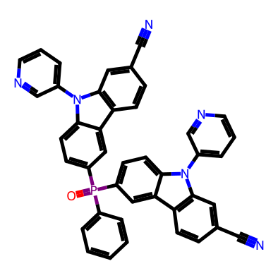 N#Cc1ccc2c3cc(P(=O)(c4ccccc4)c4ccc5c(c4)c4ccc(C#N)cc4n5-c4cccnc4)ccc3n(-c3cccnc3)c2c1